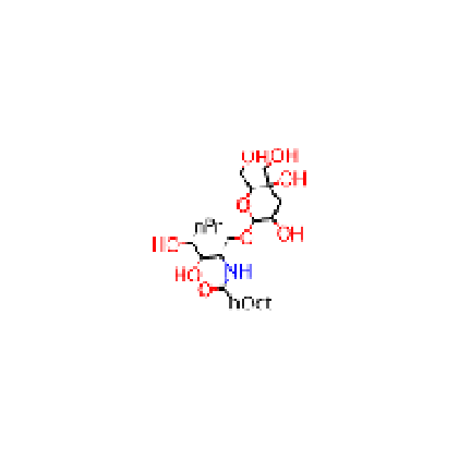 CCCCCCCCC(=O)N[C@@H](CO[C@H]1OC(CO)C(O)(CO)CC1O)[C@H](O)[C@H](O)CCC